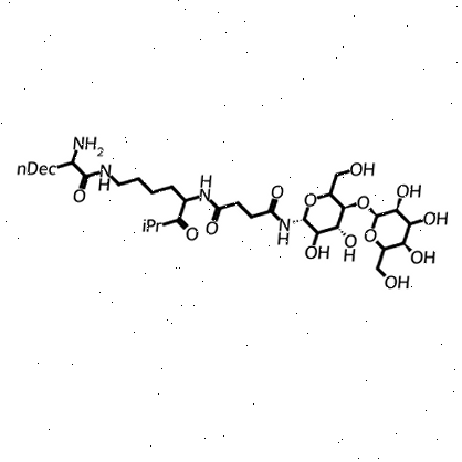 CCCCCCCCCCC(N)C(=O)NCCCCC(NC(=O)CCC(=O)N[C@@H]1OC(CO)[C@@H](O[C@@H]2OC(CO)[C@H](O)C(O)[C@@H]2O)[C@H](O)C1O)C(=O)C(C)C